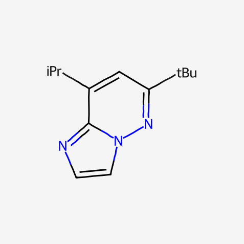 CC(C)c1cc(C(C)(C)C)nn2ccnc12